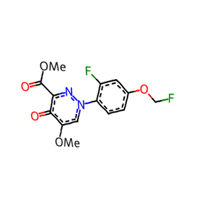 COC(=O)c1nn(-c2ccc(OCF)cc2F)cc(OC)c1=O